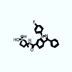 CC1(NC(=O)c2ccc3c(-c4ccccc4)nn(-c4ccc(F)cc4)c3c2)CCS(O)(O)C1